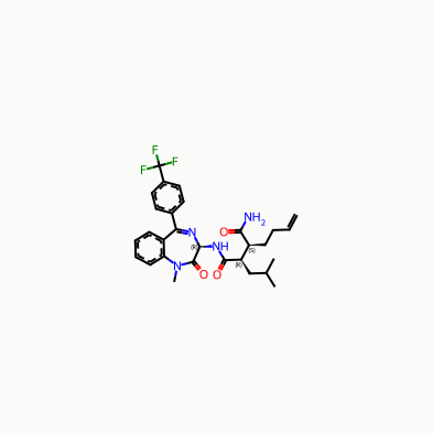 C=CCC[C@H](C(N)=O)[C@@H](CC(C)C)C(=O)N[C@@H]1N=C(c2ccc(C(F)(F)F)cc2)c2ccccc2N(C)C1=O